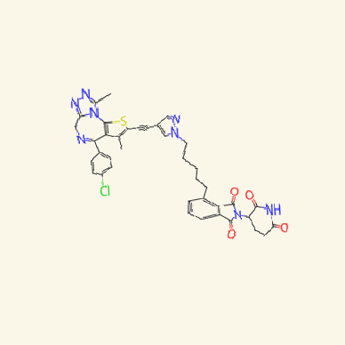 Cc1c(C#Cc2cnn(CCCCCc3cccc4c3C(=O)N(C3CCC(=O)NC3=O)C4=O)c2)sc2c1C(c1ccc(Cl)cc1)=NCc1nnc(C)n1-2